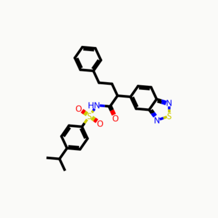 CC(C)c1ccc(S(=O)(=O)NC(=O)C(CCc2ccccc2)c2ccc3nsnc3c2)cc1